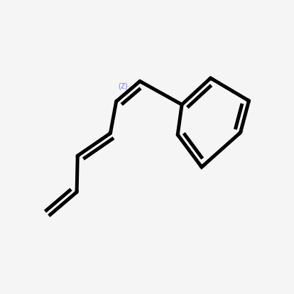 C=CC=C/C=C\c1ccccc1